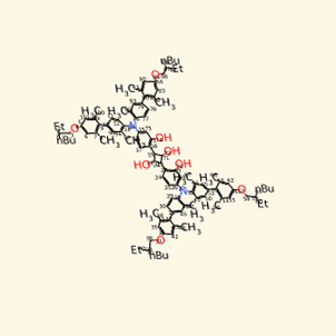 CCCCC(CC)COc1cc(C)c(-c2ccc(N(c3ccc(C4C(O)[C@H](c5ccc(N(c6ccc(-c7c(C)cc(OCC(CC)CCCC)cc7C)cc6C)c6ccc(-c7c(C)cc(OCC(CC)CCCC)cc7C)cc6C)cc5O)[C@@H]4O)c(O)c3)c3ccc(-c4c(C)cc(OCC(CC)CCCC)cc4C)cc3C)c(C)c2)c(C)c1